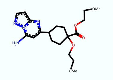 COCCOC(=O)C1(OCCOC)CCC(c2cc(N)n3nccc3n2)CC1